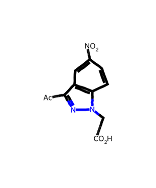 CC(=O)c1nn(CC(=O)O)c2ccc([N+](=O)[O-])cc12